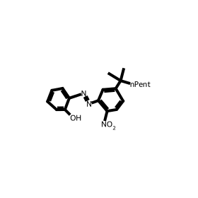 CCCCCC(C)(C)c1ccc([N+](=O)[O-])c(N=Nc2ccccc2O)c1